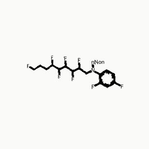 CCCCCCCCCN(CC(F)C(F)C(F)C(F)C(F)CCCF)c1ccc(F)cc1F